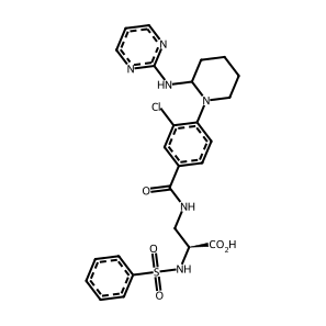 O=C(NC[C@H](NS(=O)(=O)c1ccccc1)C(=O)O)c1ccc(N2CCCCC2Nc2ncccn2)c(Cl)c1